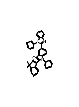 CC1(C)c2ccccc2-c2c1oc1c3cc(-c4nc5ccccc5n4-c4ccccc4)ccc3n(-c3ccccc3)c21